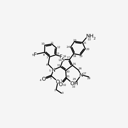 CCOC(=O)N(Cc1c(F)cccc1F)c1sc(-c2ccc(N)cc2)c(CN(C)C)c1C(=O)O